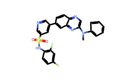 CN(c1ccccc1)c1cnc2ccc(-c3cncc(S(=O)(=O)Nc4ccc(F)cc4F)c3)cc2n1